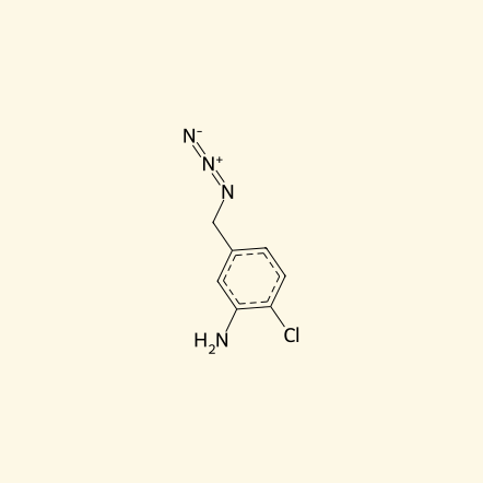 [N-]=[N+]=NCc1ccc(Cl)c(N)c1